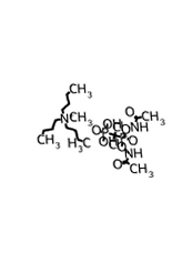 CC(=O)NOP(=O)(ONC(C)=O)C(Cl)(Cl)P(=O)(O)O.CCCC[N+](C)(CCCC)CCCC